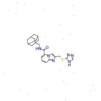 O=C(NCC12CC3CC(CC(C3)C1)C2)c1cccc2nc(CSc3nnc[nH]3)cn12